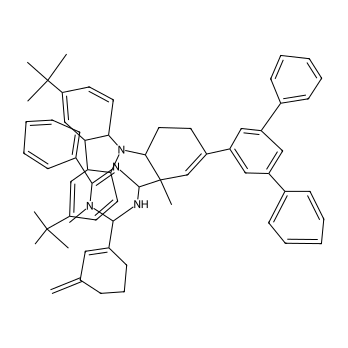 C=C1C=C(C2NC(C3(C)C=C(c4cc(-c5ccccc5)cc(-c5ccccc5)c4)CCC3N3C4C=CC(C(C)(C)C)=CC4C4C=C(C(C)(C)C)C=CC43)N=C(c3ccccc3)N2C)CCC1